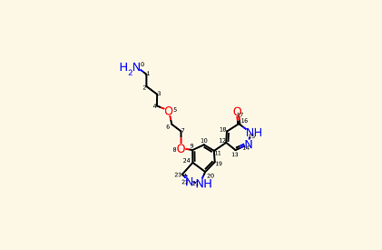 NCCCCOCCOc1cc(-c2cn[nH]c(=O)c2)cc2[nH]ncc12